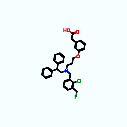 O=C(O)Cc1cccc(OCCCN(Cc2cccc(CF)c2Cl)CC(c2ccccc2)c2ccccc2)c1